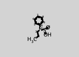 CCCN(c1ccccc1)S(=O)O